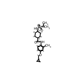 Cc1cc(OCC2CC2)ccc1NC(=O)C1CCC(NS(=O)(=O)C(C)C)CC1